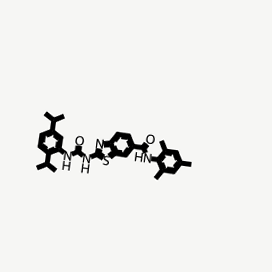 Cc1cc(C)c(NC(=O)c2ccc3nc(NC(=O)Nc4cc(C(C)C)ccc4C(C)C)sc3c2)c(C)c1